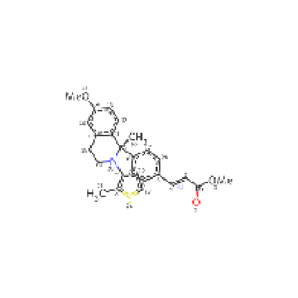 COC(=O)/C=C/c1ccc(C2(C)c3ccc(OC)cc3CCN2c2ccsc2C)cc1